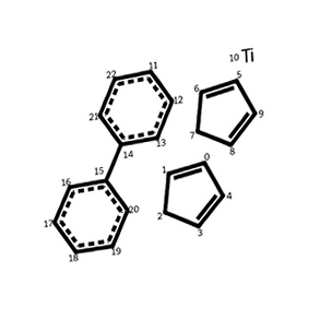 C1=CCC=C1.C1=CCC=C1.[Ti].c1ccc(-c2ccccc2)cc1